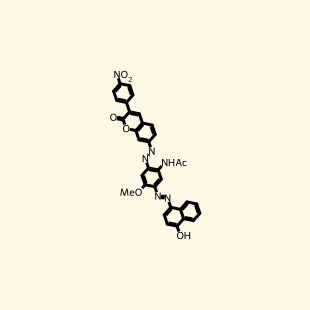 COc1cc(N=Nc2ccc3cc(-c4ccc([N+](=O)[O-])cc4)c(=O)oc3c2)c(NC(C)=O)cc1N=Nc1ccc(O)c2ccccc12